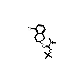 CN(C[C@@H]1OCCc2c(Cl)cccc21)C(=O)OC(C)(C)C